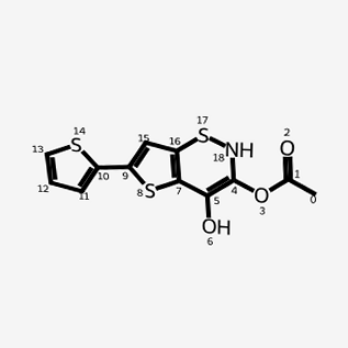 CC(=O)OC1=C(O)c2sc(-c3cccs3)cc2SN1